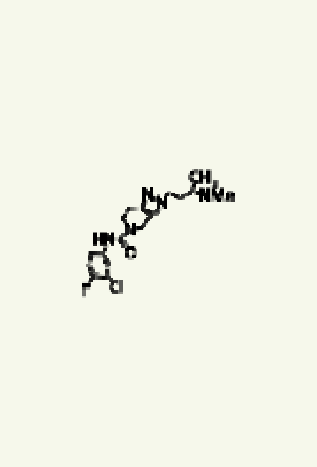 CNC(C)CCn1cc2c(n1)CCN(C(=O)Nc1ccc(F)c(Cl)c1)C2